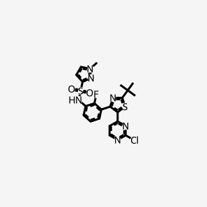 Cn1ccc(S(=O)(=O)Nc2cccc(-c3nc(C(C)(C)C)sc3-c3ccnc(Cl)n3)c2F)n1